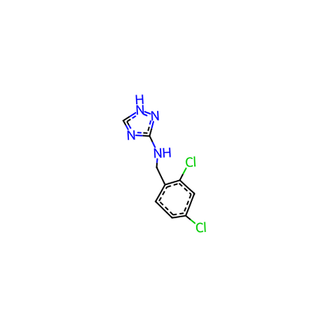 Clc1ccc(CNc2nc[nH]n2)c(Cl)c1